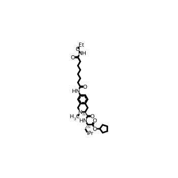 CCONC(=O)CCCCCCC(=O)Nc1ccc2c(c1)CN(C)[C@H](C(=O)N[C@@H](CC(C)C)C(=O)OC1CCCC1)C2